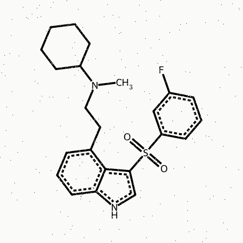 CN(CCc1cccc2[nH]cc(S(=O)(=O)c3cccc(F)c3)c12)C1CCCCC1